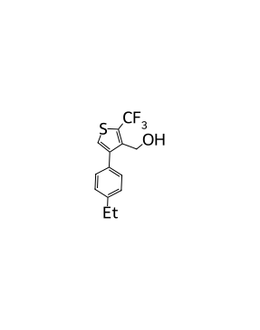 CCc1ccc(-c2csc(C(F)(F)F)c2CO)cc1